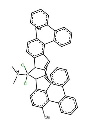 CC1=Cc2c(ccc(C(C)(C)C)c2-c2ccccc2-c2ccccc2)[CH]1[Zr]([Cl])([Cl])([CH]1C(C)=Cc2c1ccc(C(C)(C)C)c2-c1ccccc1-c1ccccc1)[SiH](C)C